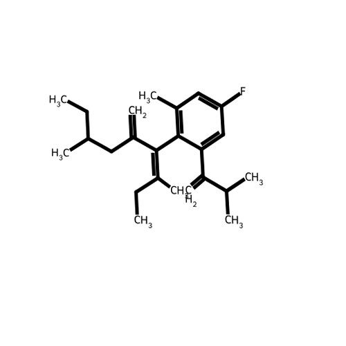 C=C(CC(C)CC)/C(=C(/C)CC)c1c(C)cc(F)cc1C(=C)C(C)C